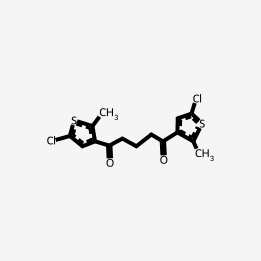 Cc1sc(Cl)cc1C(=O)CCCC(=O)c1cc(Cl)sc1C